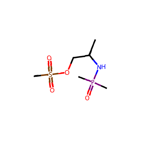 CC(COS(C)(=O)=O)NP(C)(C)=O